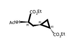 CCOC(=O)[C@H]1C[C@@H]1C[C@@H](NC(C)=O)C(=O)OCC